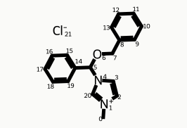 C[n+]1ccn(C(OCc2ccccc2)c2ccccc2)c1.[Cl-]